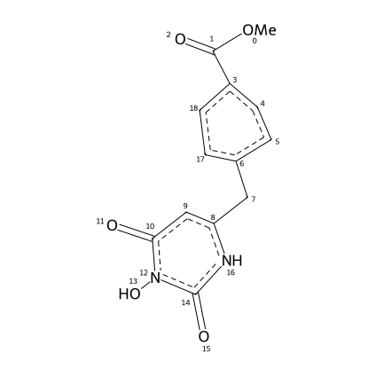 COC(=O)c1ccc(Cc2cc(=O)n(O)c(=O)[nH]2)cc1